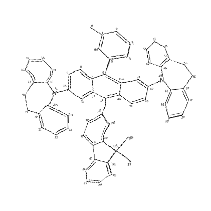 Cc1cccc(-c2c3ccc(N4c5ccccc5CCc5ccccc54)cc3c(-c3ccc4c(c3)C(C)(C)c3ccccc3-4)c3ccc(N4C5=C(CCC=C5)CCc5ccccc54)cc23)c1